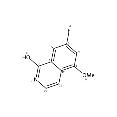 COc1cc(F)cc2c(O)nccc12